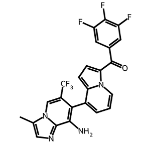 Cc1cnc2c(N)c(-c3cccn4c(C(=O)c5cc(F)c(F)c(F)c5)ccc34)c(C(F)(F)F)cn12